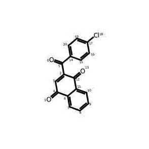 O=C(C1=CC(=O)c2ccccc2C1=O)c1ccc(Cl)cc1